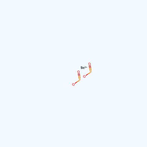 O=P[O-].O=P[O-].[Be+2]